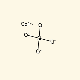 [Co+4].[O-][Si]([O-])([O-])[O-]